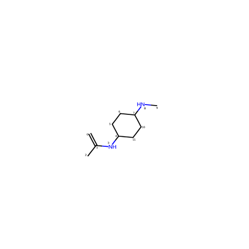 C=C(C)NC1CCC(NC)CC1